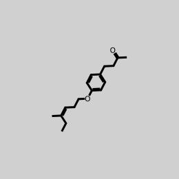 CCC(C)=CCCOc1ccc(CCC(C)=O)cc1